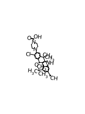 C#Cc1cc(C(C)(C)C)c2c3c([nH]c2c1)C(C)(C)c1cc(N2CCN(C(=O)O)CC2)c(Cl)cc1C3=O